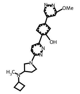 COc1cc(-c2ccc(-c3ccc(N4CCC(N(C)C5CCC5)C4)nn3)c(O)c2)cnn1